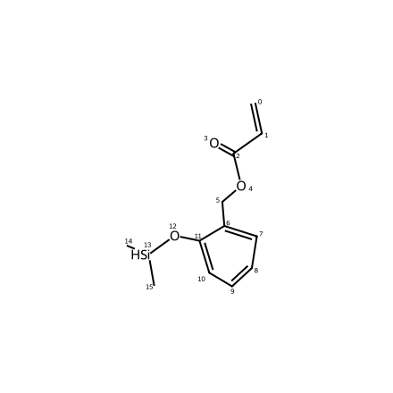 C=CC(=O)OCc1ccccc1O[SiH](C)C